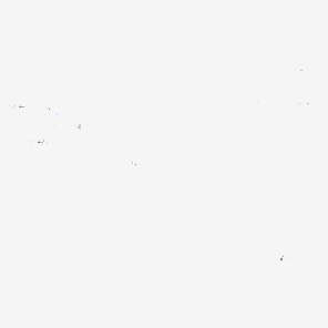 CCCCCCCCCOC(=O)CCCCCCCN(CCCCCCCC(=O)OC(CCCCCCCC)CCCCCCCC)CCCN/C(=N/OC)NC